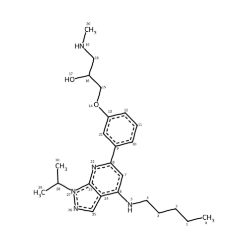 CCCCCNc1cc(-c2cccc(OCC(O)CNC)c2)nc2c1cnn2C(C)C